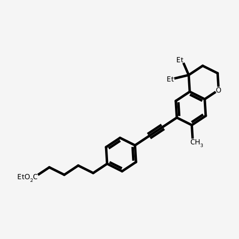 CCOC(=O)CCCCc1ccc(C#Cc2cc3c(cc2C)OCCC3(CC)CC)cc1